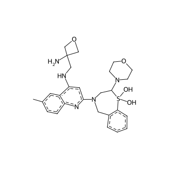 Cc1ccc2nc(N3Cc4ccccc4S(O)(O)C(N4CCOCC4)C3)cc(NCC3(N)COC3)c2c1